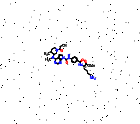 COC(=O)[C@H](CCCCN)NC(=O)c1ccc(NC(=O)n2ccc3c(N(C)C4CN(C(=O)CC#N)CC[C@H]4C)ncnc32)cc1